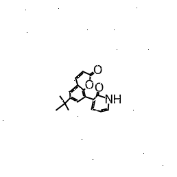 CC(C)(C)c1cc(-c2ccc[nH]c2=O)c2oc(=O)ccc2c1